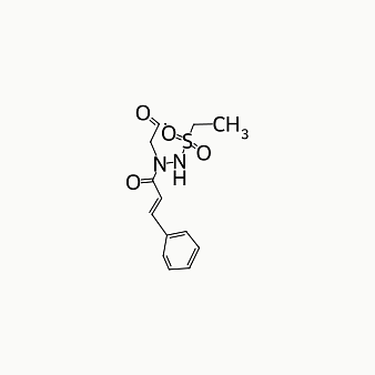 CCS(=O)(=O)NN(C[C]=O)C(=O)C=Cc1ccccc1